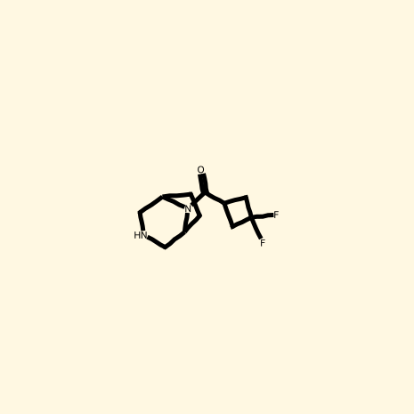 O=C(C1CC(F)(F)C1)N1C2CCC1CNC2